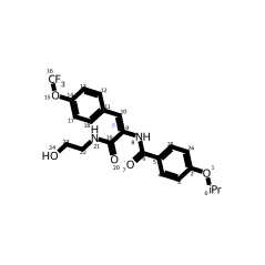 CC(C)Oc1ccc(C(=O)N/C(=C/c2ccc(OC(F)(F)F)cc2)C(=O)NCCO)cc1